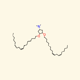 CCCCC/C=C\C/C=C\CCCCCCCCO[C@@H]1C[C@@H](N(C)C)C[C@@H]1OCCCCCCC/C=C\C/C=C\CCCCC